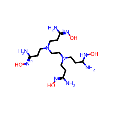 NC(CCN(CCC(N)NO)CCN(CC/C(N)=N/O)CC/C(N)=N\O)=NO